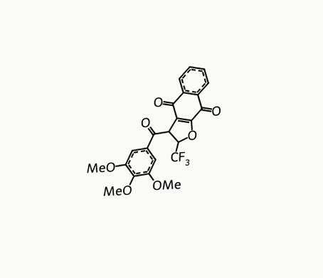 COc1cc(C(=O)C2C3=C(OC2C(F)(F)F)C(=O)c2ccccc2C3=O)cc(OC)c1OC